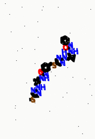 CSc1cnc(NCC(C)(C)CNc2nc3cc(CSc4cnc(NCC5(CNc6nc7ccccc7o6)CC5)nc4)ccc3o2)nc1